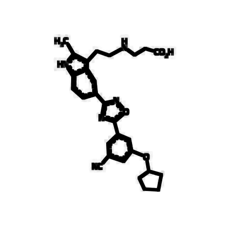 Cc1[nH]c2ccc(-c3noc(-c4cc(C#N)cc(OC5CCCC5)c4)n3)cc2c1CCNCCC(=O)O